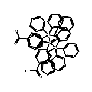 O=C(O)c1ccc(S(=O)(c2ccc(C(=O)O)cc2)(P(Cc2ccccc2)(c2ccccc2)(c2ccccc2)c2ccccc2)P(Cc2ccccc2)(c2ccccc2)(c2ccccc2)c2ccccc2)cc1